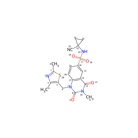 Cc1nc(C)c(Cn2c(=O)n(C)c(=O)c3cc(S(=O)(=O)NC4(C#N)CC4)ccc32)s1